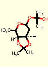 CC(C)(O)OC1C[C@H]2OC(C)(C)O[C@H]2[C@@H](C(=O)O)O1